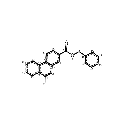 Cc1cc2cc(C(=O)OCc3ccccc3)ccc2c2cnccc12